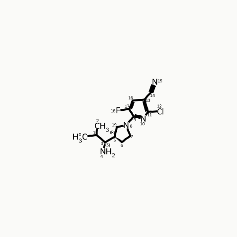 CC(C)[C@H](N)[C@@H]1CCN(c2nc(Cl)c(C#N)cc2F)C1